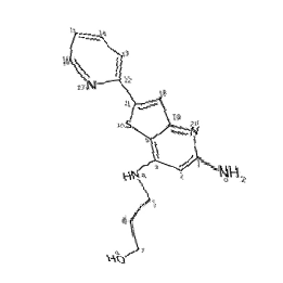 Nc1cc(NCCCO)c2sc(-c3ccccn3)cc2n1